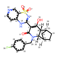 O=C1C(C2=NS(=O)(=O)c3cnccc3N2)=C(O)[C@@H]2[C@H]3CC[C@H](C3)[C@@H]2N1Cc1ccc(F)cc1